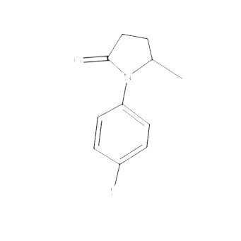 CC1CCC(=O)N1c1ccc(F)cc1